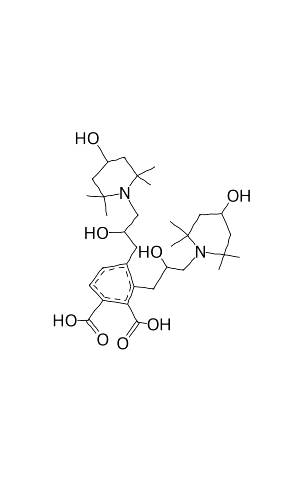 CC1(C)CC(O)CC(C)(C)N1CC(O)Cc1ccc(C(=O)O)c(C(=O)O)c1CC(O)CN1C(C)(C)CC(O)CC1(C)C